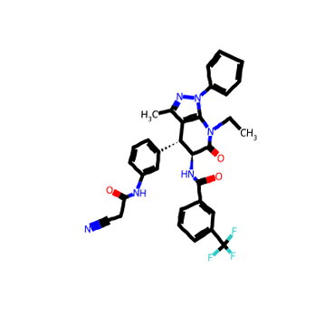 CCN1C(=O)[C@@H](NC(=O)c2cccc(C(F)(F)F)c2)[C@H](c2cccc(NC(=O)CC#N)c2)c2c(C)nn(-c3ccccc3)c21